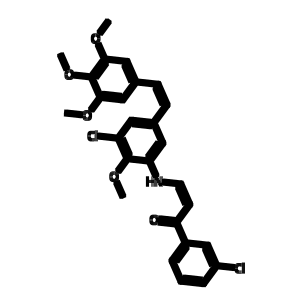 COc1cc(/C=C\c2cc(Cl)c(OC)c(N/C=C\C(=O)c3cccc(Cl)c3)c2)cc(OC)c1OC